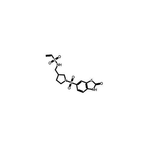 C=CS(=O)(=O)NCC1CCN(S(=O)(=O)c2ccc3[nH]c(=O)sc3c2)C1